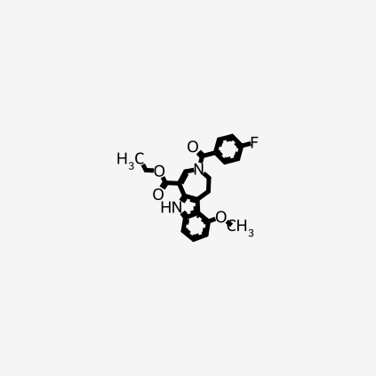 CCOC(=O)C1=CN(C(=O)c2ccc(F)cc2)CCc2c1[nH]c1cccc(OC)c21